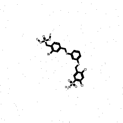 NS(=O)(=O)c1cc(CSc2cccc(SCc3ccc(CP(=O)(OF)OF)c(Br)c3)c2)c(Cl)cc1Cl